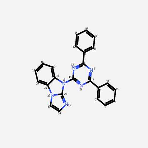 c1ccc(-c2nc(-c3ccccc3)nc(-n3c4ccccc4n4ccnc34)n2)cc1